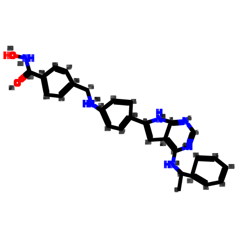 CC(Nc1ncnc2[nH]c(-c3ccc(NCc4ccc(C(=O)NO)cc4)cc3)cc12)c1ccccc1